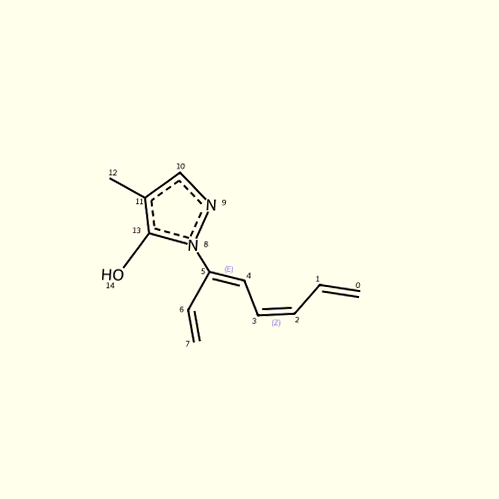 C=C/C=C\C=C(/C=C)n1ncc(C)c1O